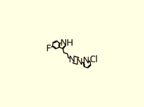 Fc1ccc2[nH]cc(CCCN3CCN(c4cccc(Cl)n4)CC3)c2c1